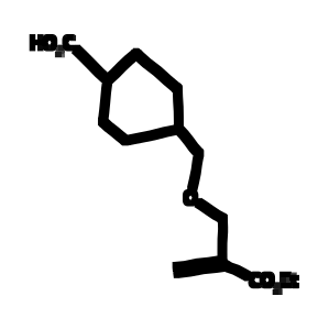 C=C(COCC1CCC(C(=O)O)CC1)C(=O)OCC